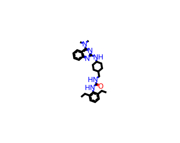 CCc1cccc(CC)c1NC(=O)NCC1CCC(Nc2nc(N(C)C)c3ccccc3n2)CC1